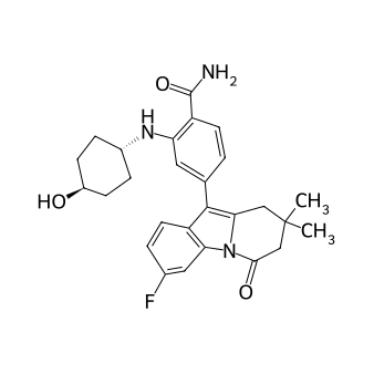 CC1(C)CC(=O)n2c(c(-c3ccc(C(N)=O)c(N[C@H]4CC[C@H](O)CC4)c3)c3ccc(F)cc32)C1